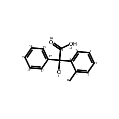 Cc1ccccc1C(Cl)(C(=O)O)c1ccccc1